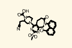 CS(=O)(=O)c1nc2c(c(N3CCN(C(=O)O)C(CC#N)C3)n1)CCC(=O)N(c1cccc3cccc(Cl)c13)C2